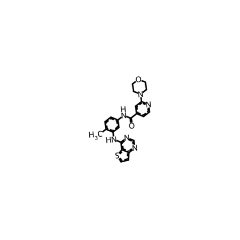 Cc1ccc(NC(=O)c2ccnc(N3CCOCC3)c2)cc1Nc1ncnc2ccsc12